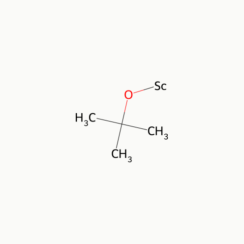 CC(C)(C)[O][Sc]